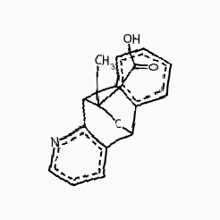 CC1(C(=O)O)CC2c3ccccc3C1c1ncccc12